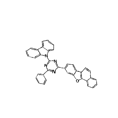 c1ccc(-c2nc(-c3ccc4c(c3)oc3c5ccccc5ccc43)nc(-n3c4ccccc4c4ccccc43)n2)cc1